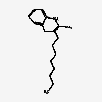 CCCCCCCCC1=C(N)Nc2ccccc2C1